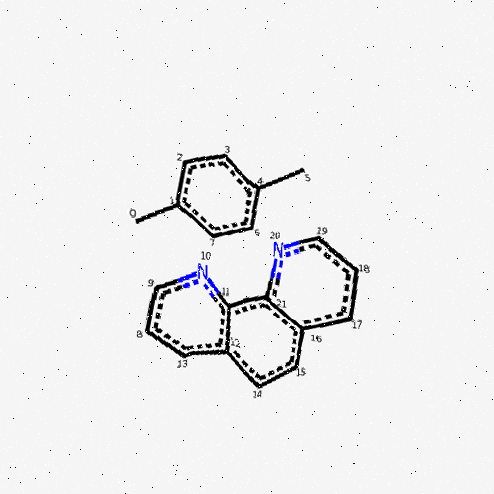 Cc1ccc(C)cc1.c1cnc2c(c1)ccc1cccnc12